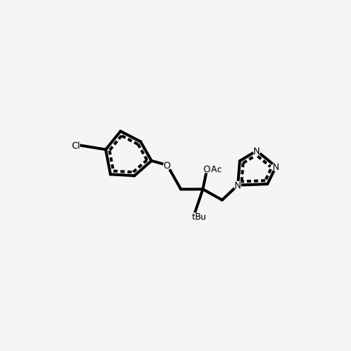 CC(=O)OC(COc1ccc(Cl)cc1)(Cn1cnnc1)C(C)(C)C